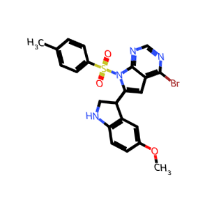 COc1ccc2c(c1)C(c1cc3c(Br)ncnc3n1S(=O)(=O)c1ccc(C)cc1)CN2